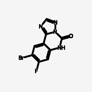 O=c1[nH]c2cc(F)c(Br)cc2c2ncnn12